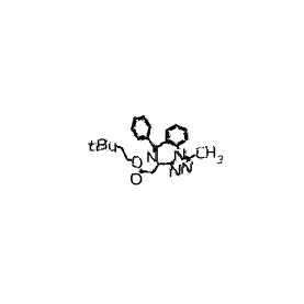 Cc1nnc2n1-c1ccccc1C(c1ccccc1)=NC2CC(=O)OCCC(C)(C)C